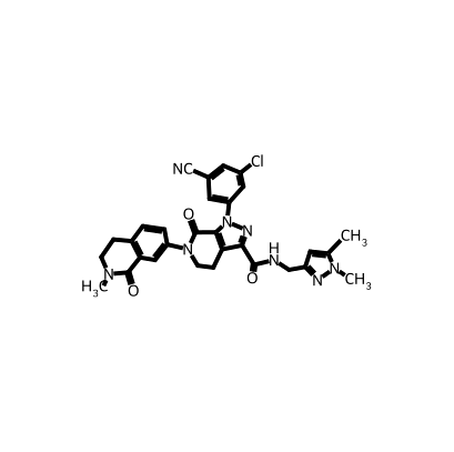 Cc1cc(CNC(=O)c2nn(-c3cc(Cl)cc(C#N)c3)c3c2CCN(c2ccc4c(c2)C(=O)N(C)CC4)C3=O)nn1C